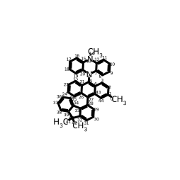 Cc1ccc2c(N3c4ccccc4N(C)c4ccccc43)c3ccccc3c(-c3cccc4c3-c3ccccc3C4(C)C)c2c1